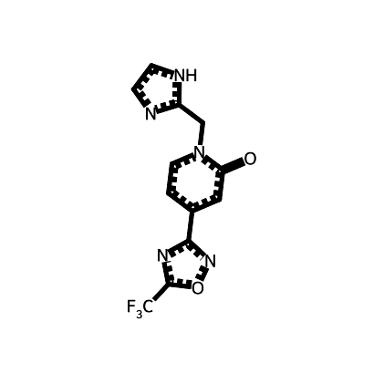 O=c1cc(-c2noc(C(F)(F)F)n2)ccn1Cc1ncc[nH]1